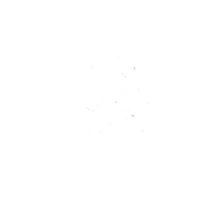 CC(C)N1C(=O)C(CC(=O)O)OC(c2ccccc2Cl)c2cc(Cl)ccc21